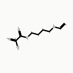 C=COCCCCOC(=O)C(=O)Cl